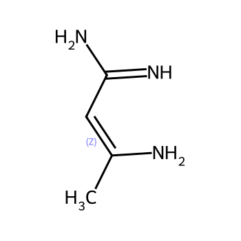 C/C(N)=C/C(=N)N